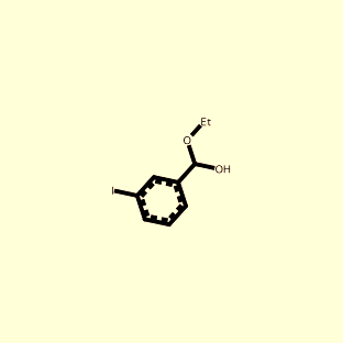 CCOC(O)c1cccc(I)c1